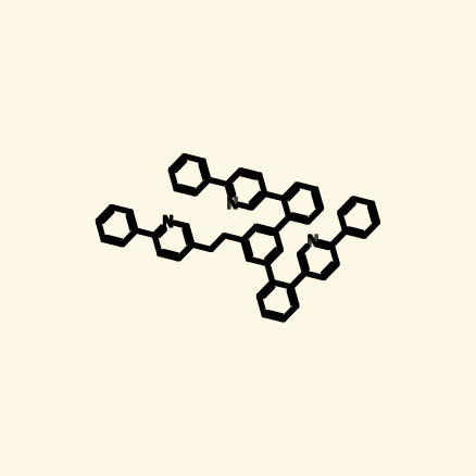 c1ccc(-c2ccc(CCc3cc(-c4ccccc4-c4ccc(-c5ccccc5)nc4)cc(-c4ccccc4-c4ccc(-c5ccccc5)nc4)c3)cn2)cc1